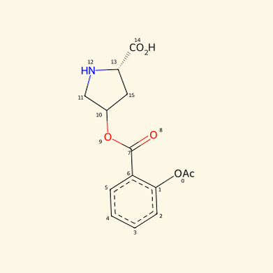 CC(=O)Oc1ccccc1C(=O)OC1CN[C@H](C(=O)O)C1